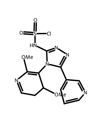 COC1=C(n2c(NS(=O)(=O)Cl)nnc2-c2cccnc2)C(OC)CC=N1